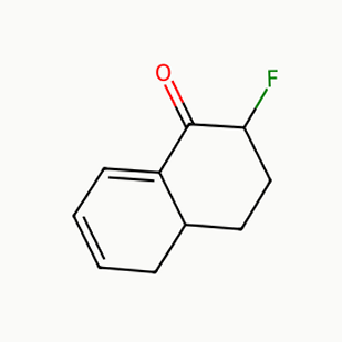 O=C1C2=CC=CCC2CCC1F